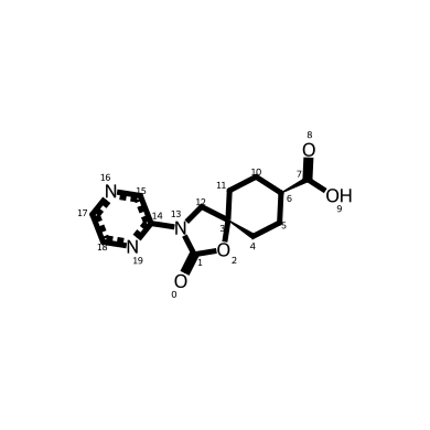 O=C1O[C@]2(CC[C@H](C(=O)O)CC2)CN1c1cnccn1